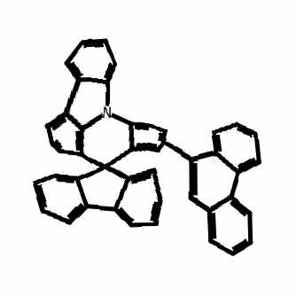 c1ccc2c(c1)-c1ccccc1C21c2cc(-c3cc4ccccc4c4ccccc34)ccc2-n2c3ccccc3c3cccc1c32